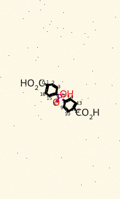 O=C(O)c1ccc(P(=O)(O)c2ccc(C(=O)O)cc2)cc1